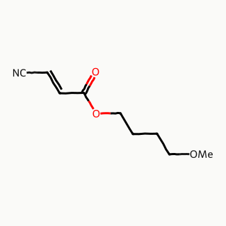 COCCCCOC(=O)C=CC#N